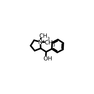 C[N+]1(C)CCCC1C(O)c1ccccc1